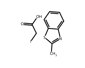 Cc1nc2ccccc2s1.O=C(O)CI